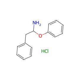 Cl.NC(Cc1ccccc1)Oc1ccccc1